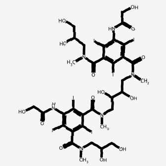 CN(CC(O)CO)C(=O)c1c(I)c(NC(=O)CO)c(I)c(C(=O)N(C)CC(O)C(O)CN(C)C(=O)c2c(I)c(NC(=O)CO)c(I)c(C(=O)N(C)CC(O)CO)c2I)c1I